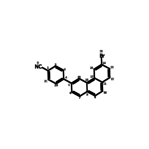 N#Cc1ccc(-c2ccc3ccc4ccc(Br)cc4c3c2)cc1